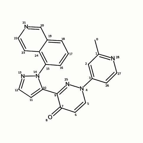 Cc1cc(-n2ccc(=O)c(-c3ccnn3-c3cccc4cnccc34)n2)ccn1